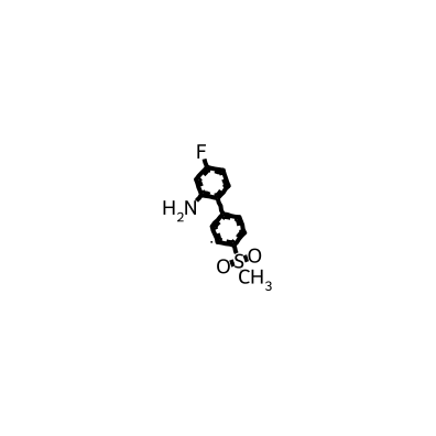 CS(=O)(=O)c1[c]cc(-c2ccc(F)cc2N)cc1